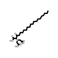 CCCCCCCCCCCCCCCCCCC(=O)C(C(=O)O)N(CC(=O)O)CC(=O)O